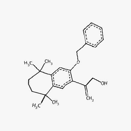 C=C(CO)c1cc2c(cc1OCc1ccccc1)C(C)(C)CCC2(C)C